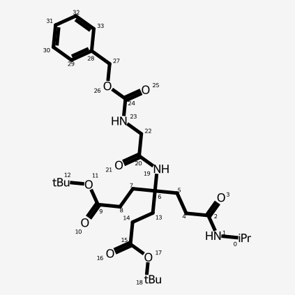 CC(C)NC(=O)CCC(CCC(=O)OC(C)(C)C)(CCC(=O)OC(C)(C)C)NC(=O)CNC(=O)OCc1ccccc1